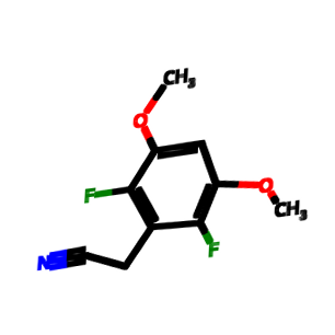 COc1cc(OC)c(F)c(CC#N)c1F